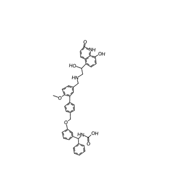 COc1ccc(CNCC(O)c2ccc(O)c3[nH]c(=O)ccc23)cc1-c1ccc(COc2cccc(C(NC(=O)O)c3ccccc3)c2)cc1